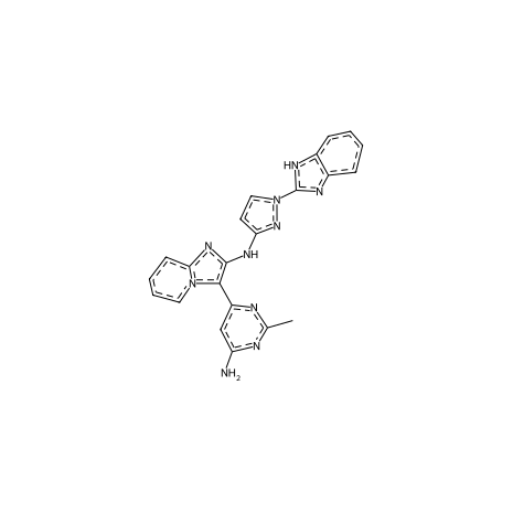 Cc1nc(N)cc(-c2c(Nc3ccn(-c4nc5ccccc5[nH]4)n3)nc3ccccn23)n1